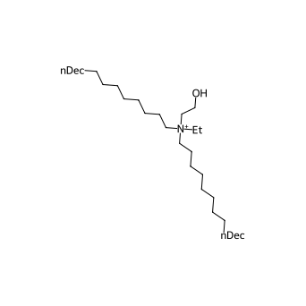 CCCCCCCCCCCCCCCCCC[N+](CC)(CCO)CCCCCCCCCCCCCCCCCC